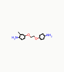 Cc1cc(OCCOc2ccc(N)cc2)ccc1N